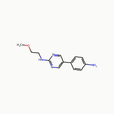 COCCNc1ncc(-c2ccc(N)cc2)cn1